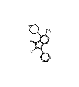 Cc1ccc2c(c1N1CCNCC1)c(=O)n(C)n2-c1cncnc1